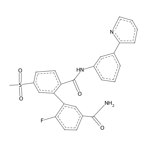 CS(=O)(=O)c1ccc(C(=O)Nc2cccc(-c3ccccn3)c2)c(-c2cc(C(N)=O)ccc2F)c1